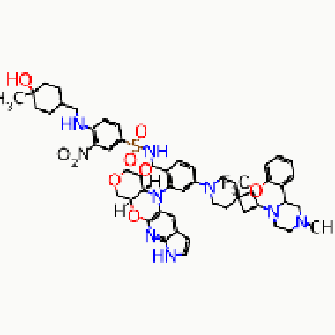 CN1CCN(C2CC3(CCN(c4ccc(C(=O)NS(=O)(=O)c5ccc(NCC6CCC(C)(O)CC6)c([N+](=O)[O-])c5)c(N5c6cc7cc[nH]c7nc6O[C@H]6COCC[C@@H]65)c4)CC3)C2)[C@@H](c2ccccc2OC(F)(F)F)C1